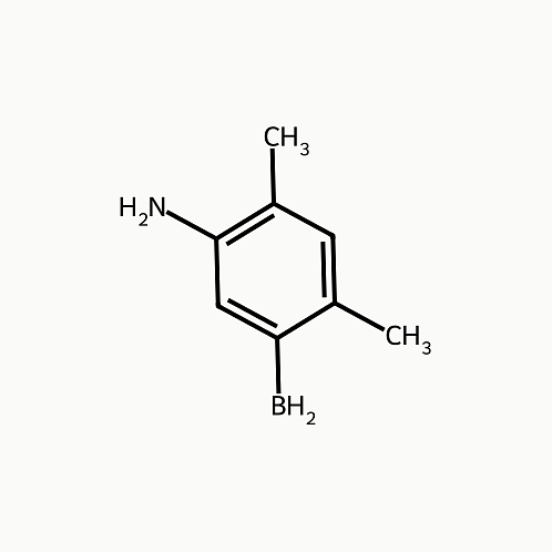 Bc1cc(N)c(C)cc1C